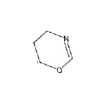 [C]1CCN=CO1